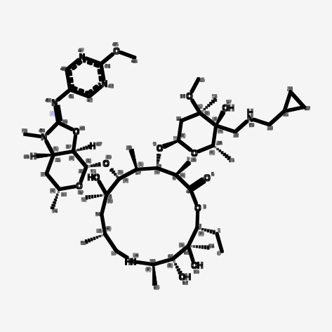 CC[C@H]1OC(=O)[C@H](C)[C@@H](O[C@H]2C[C@@](C)(OC)[C@](O)(CNCC3CC3)[C@H](C)O2)[C@H](C)[C@@H](O[C@@H]2O[C@H](C)C[C@H]3[C@H]2O/C(=N\c2cnc(OC)nc2)N3C)[C@](C)(O)C[C@@H](C)CN[C@H](C)[C@@H](O)[C@]1(C)O